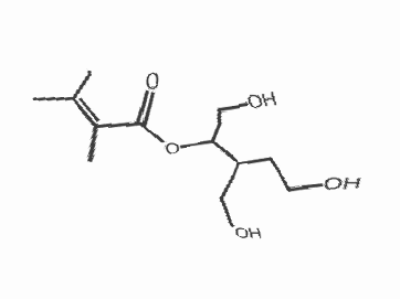 CC(C)=C(C)C(=O)OC(CO)C(CO)CCO